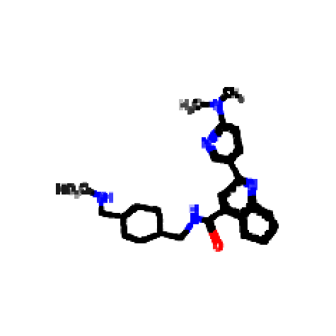 CN(C)c1ccc(-c2cc(C(=O)NCC3CCC(CNC(=O)O)CC3)c3ccccc3n2)cn1